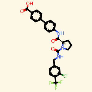 O=C(O)c1ccc(-c2ccc(NC(=O)[C@H]3CCCN3C(=O)NCc3ccc(C(F)(F)F)c(Cl)c3)cc2)cc1